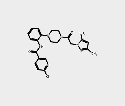 Cc1cc(C)n(CC(=O)N2CCN(c3ccccc3NC(=O)c3ccc(Cl)nc3)CC2)n1